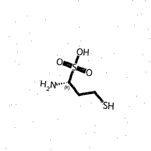 N[C@@H](CCS)S(=O)(=O)O